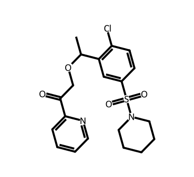 CC(OCC(=O)c1ccccn1)c1cc(S(=O)(=O)N2CCCCC2)ccc1Cl